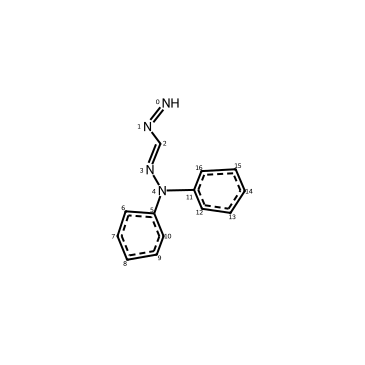 N=NC=NN(c1ccccc1)c1ccccc1